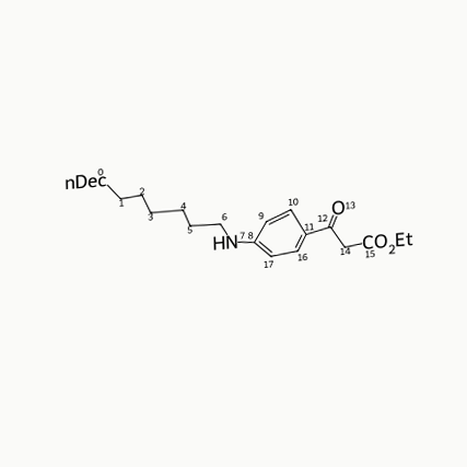 CCCCCCCCCCCCCCCCNc1ccc(C(=O)CC(=O)OCC)cc1